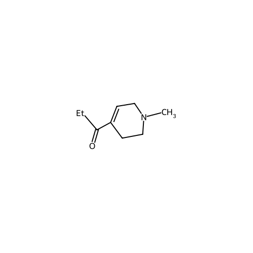 CCC(=O)C1=CCN(C)CC1